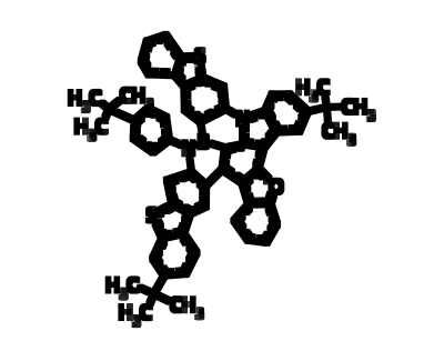 CC(C)(C)c1ccc(N2B3c4cc5c(cc4-n4c6ccc(C(C)(C)C)cc6c6c7oc8ccccc8c7c(c3c64)-c3cc4c(cc32)sc2cc(C(C)(C)C)ccc24)sc2ccccc25)cc1